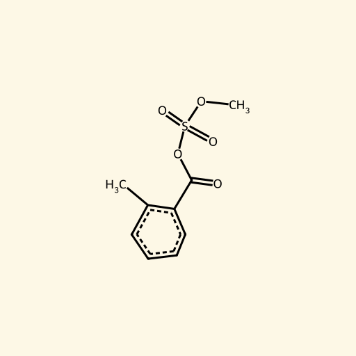 COS(=O)(=O)OC(=O)c1ccccc1C